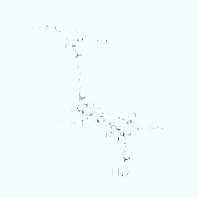 CCC/C=C/CCCC(CCCCCC)C(=O)OCCCCCCCOCC(OCCCCCCOC(=O)C(CCCCCC)CCCCCCCC)C(=O)N(CCCCCCCC)CCOCCOCCOCCOCCO